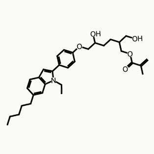 C=C(C)C(=O)OCC(CO)CCC(O)COc1ccc(-c2cc3ccc(CCCCC)cc3n2CC)cc1